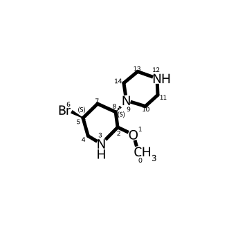 COC1NC[C@@H](Br)C[C@@H]1N1CCNCC1